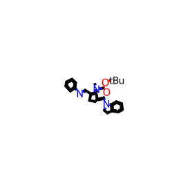 CN(C(=O)OC(C)(C)C)C1=C(/C=N/c2ccccc2)CC/C1=C\N1CCc2ccccc21